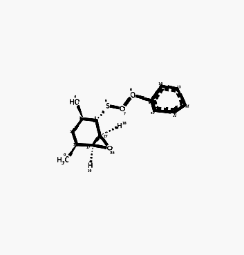 C[C@H]1C[C@@H](O)[C@H](SOOc2ccccc2)[C@H]2O[C@H]21